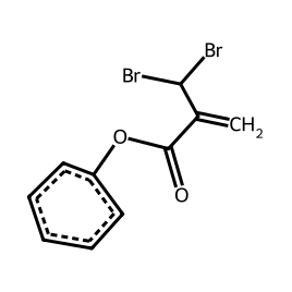 C=C(C(=O)Oc1ccccc1)C(Br)Br